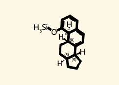 [SiH3]OC1=CC=CC2=CC=C3[C@@H]4CCC[C@H]4CC[C@@H]3[C@H]21